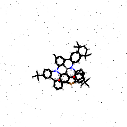 Cc1cc2c3c(c1)N(c1ccc(C(C)(C)C)cc1-c1ccccc1)c1ccc4sc5ccccc5c4c1B3N(c1ccc(C(C)(C)C)cc1)c1cc3c(cc1-2)C(C)(C)CCC3(C)C